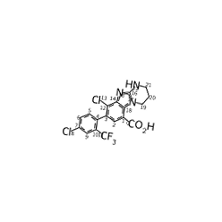 O=C(O)c1cc(-c2ccc(Cl)cc2C(F)(F)F)c(Cl)c2nc3n(c12)CCCN3